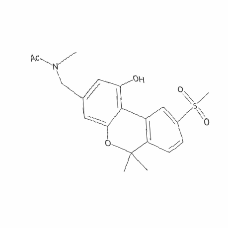 CC(=O)N(C)Cc1cc(O)c2c(c1)OC(C)(C)c1ccc(S(C)(=O)=O)cc1-2